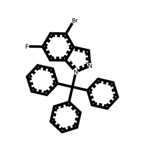 Fc1cc(Br)c2cnn(C(c3ccccc3)(c3ccccc3)c3ccccc3)c2c1